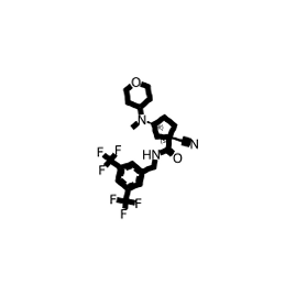 CN(C1CCOCC1)[C@@H]1CC[C@](C#N)(C(=O)NCc2cc(C(F)(F)F)cc(C(F)(F)F)c2)C1